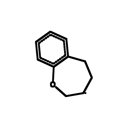 [CH]1CCc2ccccc2OC1